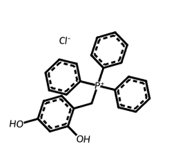 Oc1ccc(C[P+](c2ccccc2)(c2ccccc2)c2ccccc2)c(O)c1.[Cl-]